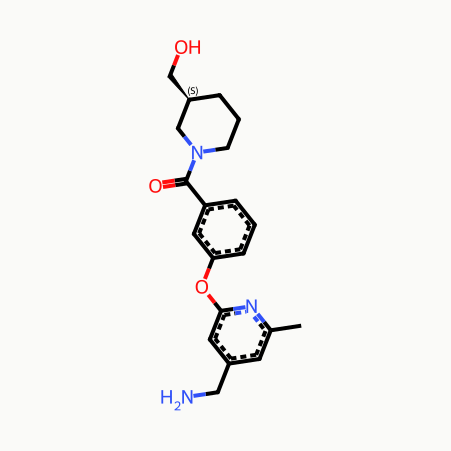 Cc1cc(CN)cc(Oc2cccc(C(=O)N3CCC[C@H](CO)C3)c2)n1